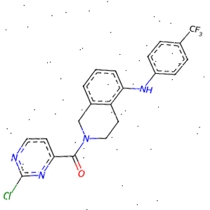 O=C(c1ccnc(Cl)n1)N1CCc2c(cccc2Nc2ccc(C(F)(F)F)cc2)C1